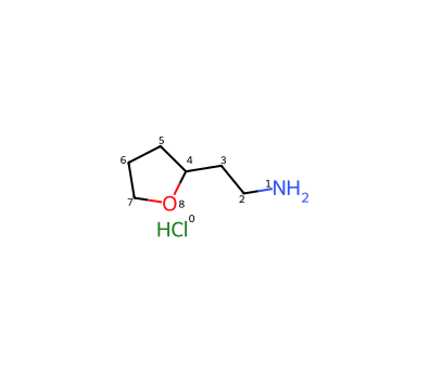 Cl.NCCC1CCCO1